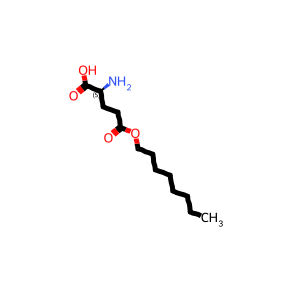 CCCCCCCCOC(=O)CC[C@H](N)C(=O)O